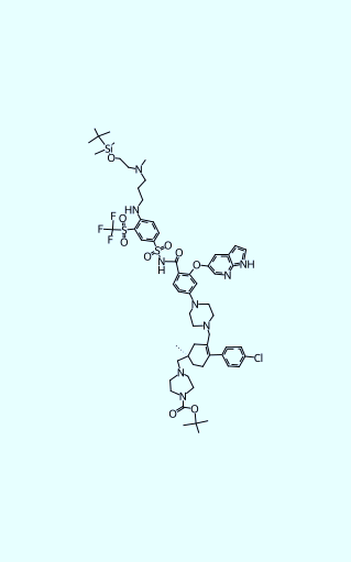 CN(CCCNc1ccc(S(=O)(=O)NC(=O)c2ccc(N3CCN(CC4=C(c5ccc(Cl)cc5)CC[C@@](C)(CN5CCN(C(=O)OC(C)(C)C)CC5)C4)CC3)cc2Oc2cnc3[nH]ccc3c2)cc1S(=O)(=O)C(F)(F)F)CCO[Si](C)(C)C(C)(C)C